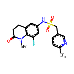 CCCN1C(=O)CCc2cc(NS(=O)(=O)Cc3ccc(C(F)(F)F)nc3)cc(F)c21